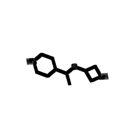 CC(OC1CNC1)C1CCNCC1